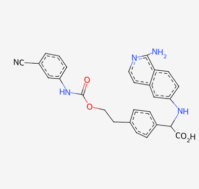 N#Cc1cccc(NC(=O)OCCc2ccc(C(Nc3ccc4c(N)nccc4c3)C(=O)O)cc2)c1